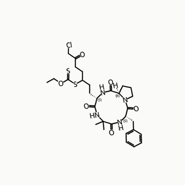 CCOC(=S)SC(CCC(=O)CCl)CC[C@@H]1NC(=O)[C@H]2CCCN2C(=O)[C@H](Cc2ccccc2)NC(=O)C(C)(C)NC1=O